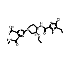 CCO[C@H]1CN(c2nc(C(=O)NC)c(C(=O)O)s2)CC[C@H]1NC(=O)c1nc(Cl)c(CC)[nH]1